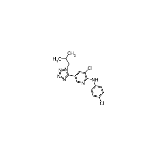 CC(C)Cn1nnnc1-c1cnc(Nc2ccc(Cl)cc2)c(Cl)c1